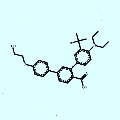 CCN(CC)c1ccc(-c2cc(-c3ccc(OCCO)cc3)ccc2C(=O)O)cc1C(C)(C)C